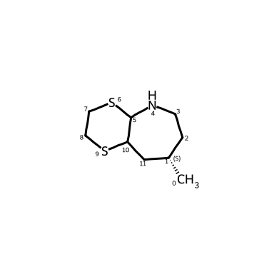 C[C@H]1CCNC2SCCSC2C1